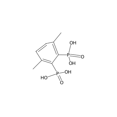 Cc1ccc(C)c(P(=O)(O)O)c1P(=O)(O)O